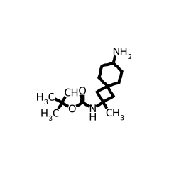 CC1(NC(=O)OC(C)(C)C)CC2(CCC(N)CC2)C1